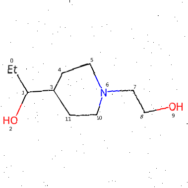 CCC(O)C1CCN(CCO)CC1